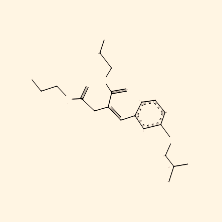 CCCOC(=O)CC(=Cc1cccc(OCC(C)C)c1)C(=O)OCCC